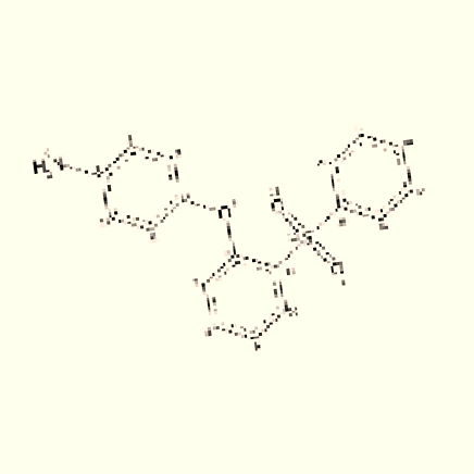 Nc1ccc(Oc2ccccc2S(=O)(=O)c2ccccc2)cc1